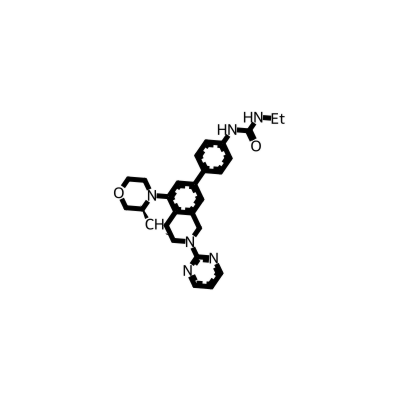 CCNC(=O)Nc1ccc(-c2cc3c(c(N4CCOC[C@@H]4C)c2)CCN(c2ncccn2)C3)cc1